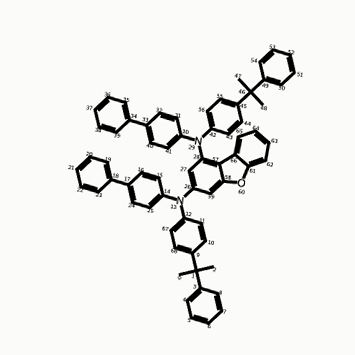 CC(C)(c1ccccc1)c1ccc(N(c2ccc(-c3ccccc3)cc2)c2cc(N(c3ccc(-c4ccccc4)cc3)c3ccc(C(C)(C)c4ccccc4)cc3)c3c(c2)oc2ccccc23)cc1